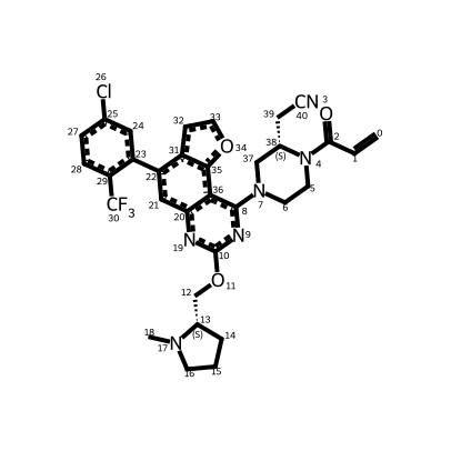 C=CC(=O)N1CCN(c2nc(OC[C@@H]3CCCN3C)nc3cc(-c4cc(Cl)ccc4C(F)(F)F)c4ccoc4c23)C[C@@H]1CC#N